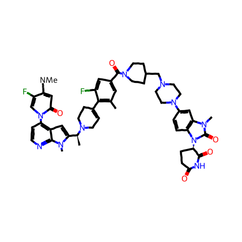 CNc1cc(=O)n(-c2ccnc3c2cc([C@H](C)N2CC=C(c4c(C)cc(C(=O)N5CCC(CN6CCN(c7ccc8c(c7)n(C)c(=O)n8[C@H]7CCC(=O)NC7=O)CC6)CC5)cc4F)CC2)n3C)cc1F